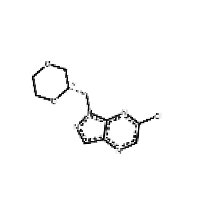 Clc1cnc2cnn(C[C@H]3COCCO3)c2n1